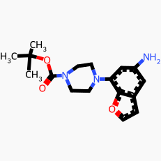 CC(C)(C)OC(=O)N1CCN(c2cc(N)cc3ccoc23)CC1